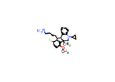 COc1ccc(F)cc1C1(C)CN(C2CC2)c2ccccc2C1CCCCCN